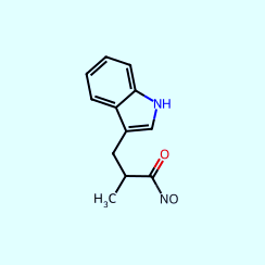 CC(Cc1c[nH]c2ccccc12)C(=O)N=O